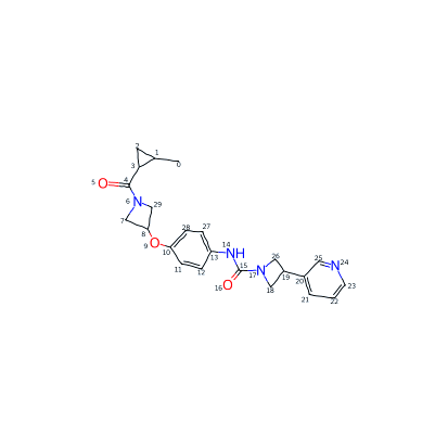 CC1CC1C(=O)N1CC(Oc2ccc(NC(=O)N3CC(c4cccnc4)C3)cc2)C1